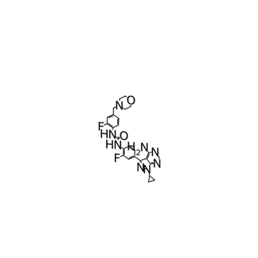 Nc1ncnc2c1c(-c1ccc(NC(=O)Nc3ccc(CN4CCOCC4)cc3F)c(F)c1)nn2C1CC1